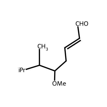 COC(C/C=C/C=O)C(C)C(C)C